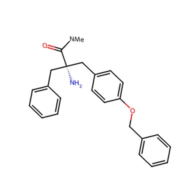 CNC(=O)[C@](N)(Cc1ccccc1)Cc1ccc(OCc2ccccc2)cc1